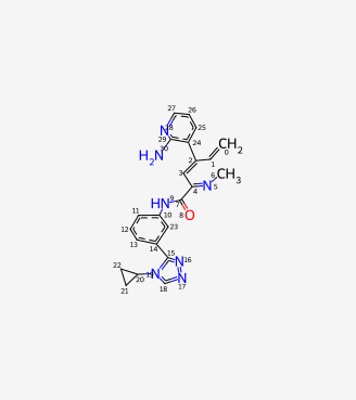 C=C/C(=C\C(=N/C)C(=O)Nc1cccc(-c2nncn2C2CC2)c1)c1cccnc1N